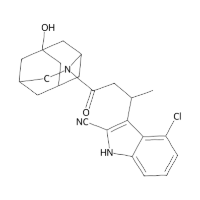 CC(CC(=O)N1CC2CC3CC1CC(O)(C3)C2)c1c(C#N)[nH]c2cccc(Cl)c12